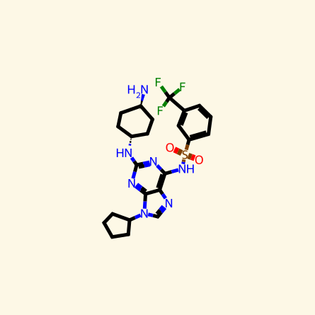 N[C@H]1CC[C@H](Nc2nc(NS(=O)(=O)c3cccc(C(F)(F)F)c3)c3ncn(C4CCCC4)c3n2)CC1